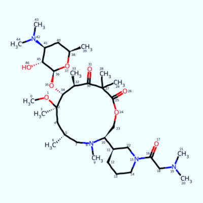 CO[C@]1(C)C[C@@H](C)CN(C)[C@H]([C@@H]2CCCN(C(=O)CN(C)C)C2)COC(=O)C(C)(C)C(=O)[C@H](C)[C@H]1O[C@@H]1O[C@H](C)C[C@H](N(C)C)[C@H]1O